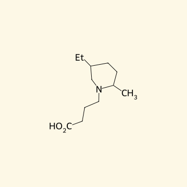 CCC1CCC(C)N(CCCC(=O)O)C1